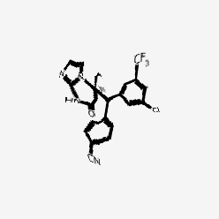 C[C@@]1(C(c2ccc(C#N)cc2)c2cc(Cl)cc(C(F)(F)F)c2)C(=O)Nc2nccn21